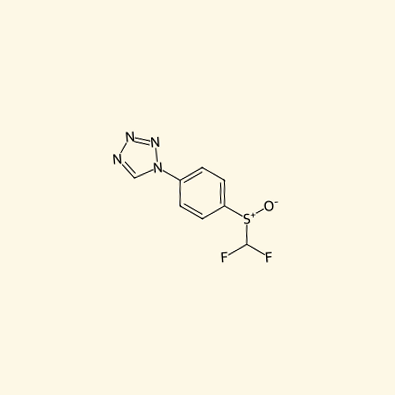 [O-][S+](c1ccc(-n2cnnn2)cc1)C(F)F